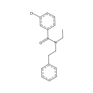 CCN(CCc1ccccc1)C(=O)c1cccc(Cl)c1